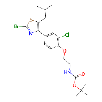 CC(C)Cc1sc(Br)nc1-c1ccc(OCCNC(=O)OC(C)(C)C)c(Cl)c1